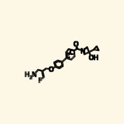 NCC(=CF)COc1ccc(C23CCC(C(=O)N4CC(O)(C5CC5)C4)(CC2)CC3)cc1